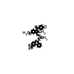 COc1ccc2c(c1)c(CCN(C)CC[C@@H](Oc1ccc(C(F)(F)F)cc1)c1ccccc1)c(C)n2C(=O)c1ccc(Cl)cc1